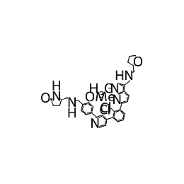 COc1cc(-c2nccc(-c3cccc(-c4ccc5c(CNC[C@H]6CCCO6)cn(C)c5n4)c3Cl)c2Cl)ccc1CNC[C@H]1CCC(=O)N1